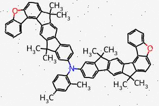 Cc1ccc(N(c2ccc3c(c2)C(C)(C)c2cc4c(cc2-3)C(C)(C)c2ccc3oc5ccccc5c3c2-4)c2ccc3c(c2)C(C)(C)c2cc4c(cc2-3)C(C)(C)c2ccc3oc5ccccc5c3c2-4)c(C)c1